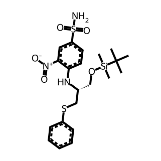 CC(C)(C)[Si](C)(C)OC[C@H](CSc1ccccc1)Nc1ccc(S(N)(=O)=O)cc1[N+](=O)[O-]